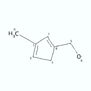 CC1=CCC(C[O])=C1